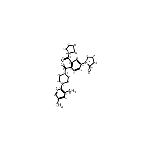 Cc1cnc(N2CCN(C(=O)c3ccc(N4CCCC4=O)cc3C(=O)N3CCCC3)CC2)c(C)c1